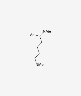 CNCCCC[C@@H](NC)C(C)=O